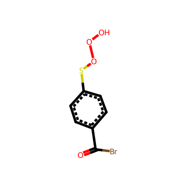 O=C(Br)c1ccc(SOOO)cc1